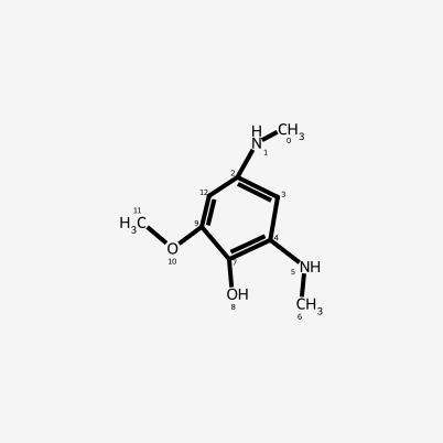 CNc1cc(NC)c(O)c(OC)c1